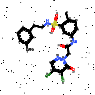 COc1cccc(CCNS(=O)(=O)c2cc(NC(=O)Cn3ncc(Cl)c(Cl)c3=O)ccc2C)c1